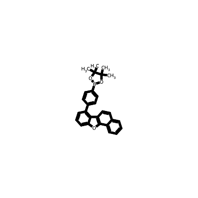 CC1(C)OB(c2ccc(-c3cccc4oc5c6ccccc6ccc5c34)cc2)OC1(C)C